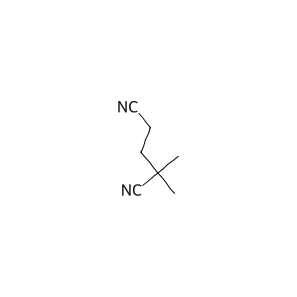 CC(C)(C#N)CCC#N